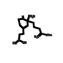 C=C(CCCCCC)CCCC1(C(=O)O)CC(CCB(O)O)CCN1